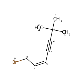 CC(C)(C)C#C/C=C\CBr